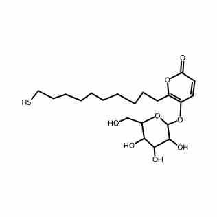 O=c1ccc(OC2OC(CO)C(O)C(O)C2O)c(CCCCCCCCCCS)o1